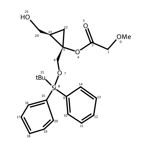 COCC(=O)O[C@@]1(CO[Si](c2ccccc2)(c2ccccc2)C(C)(C)C)C[C@@H]1CO